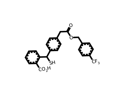 O=C(Cc1ccc(C(S)c2ccccc2C(=O)O)cc1)OCc1ccc(C(F)(F)F)cc1